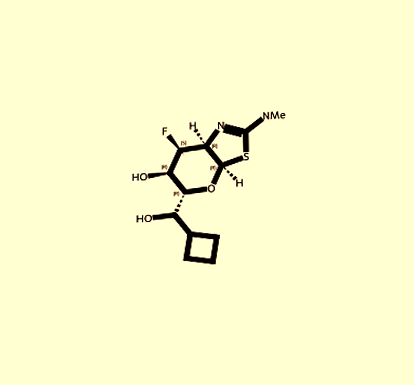 CNC1=N[C@@H]2[C@H](F)[C@H](O)[C@@H](C(O)C3CCC3)O[C@@H]2S1